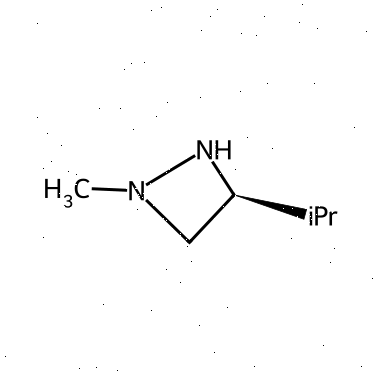 CC(C)[C@H]1CN(C)N1